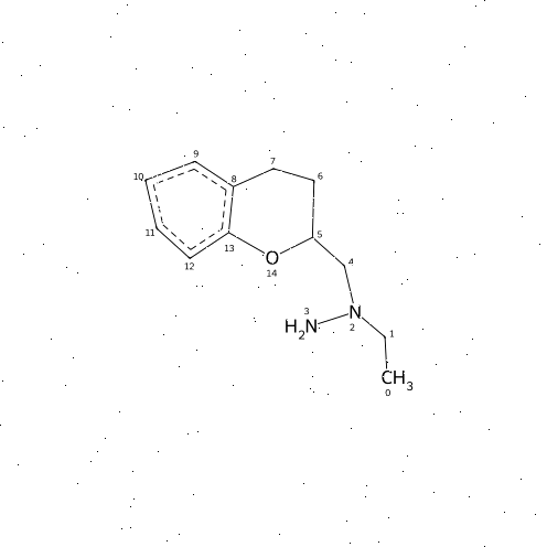 CCN(N)CC1CCc2ccccc2O1